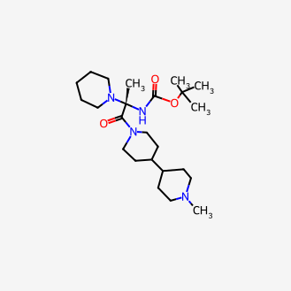 CN1CCC(C2CCN(C(=O)[C@@](C)(NC(=O)OC(C)(C)C)N3CCCCC3)CC2)CC1